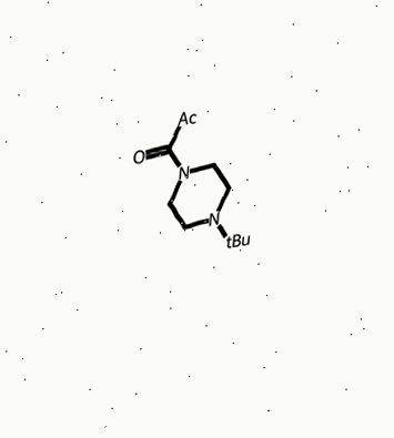 CC(=O)C(=O)N1CCN(C(C)(C)C)CC1